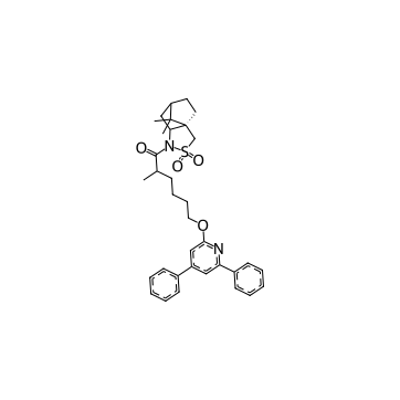 CC(CCCCOc1cc(-c2ccccc2)cc(-c2ccccc2)n1)C(=O)N1C2CC3CC[C@@]2(CS1(=O)=O)C3(C)C